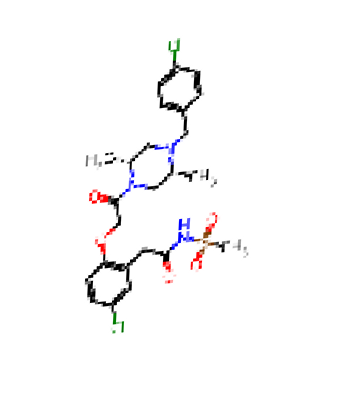 C[C@@H]1CN(Cc2ccc(Cl)cc2)[C@@H](C)CN1C(=O)COc1ccc(Cl)cc1CC(=O)NS(C)(=O)=O